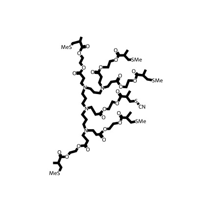 CSCC(C)C(=O)OCCOC(=O)CCN(CCCN(CCCN(CCC(=O)OCCOC(=O)C(C)CSC)CCC(=O)OCCOC(=O)C(C)CSC)CCC(=O)OCCOC(=O)C(C)CSC#N)CCCN(CCC(=O)OCCOC(=O)C(C)CSC)CCC(=O)OCCOC(=O)C(C)CSC